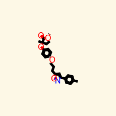 CCC(C)(Oc1ccc(OCCCc2cc(-c3ccc(C)cc3)no2)cc1)C(=O)OC